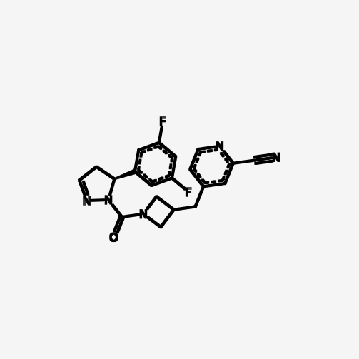 N#Cc1cc(CC2CN(C(=O)N3N=CC[C@H]3c3cc(F)cc(F)c3)C2)ccn1